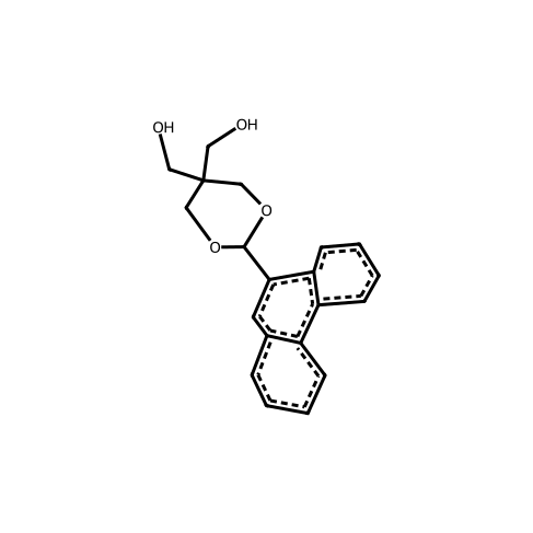 OCC1(CO)COC(c2cc3ccccc3c3ccccc23)OC1